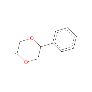 [CH]1COC(c2ccccc2)CO1